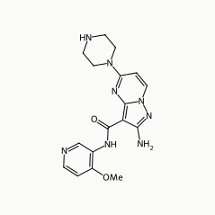 COc1ccncc1NC(=O)c1c(N)nn2ccc(N3CCNCC3)nc12